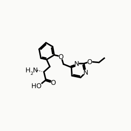 CCOc1nccc(COc2ccccc2C[C@@H](N)C(=O)O)n1